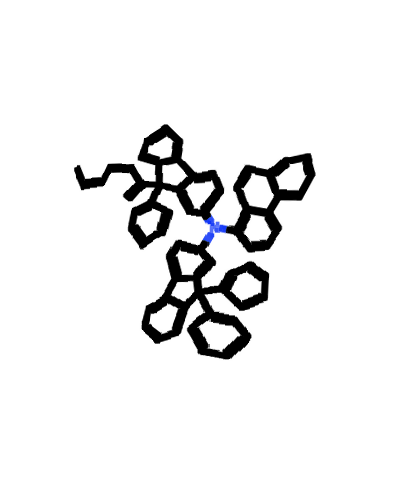 C=C(/C=C\C=C/C)C1(c2ccccc2)c2ccccc2-c2ccc(N(c3ccc4c(c3)C(c3ccccc3)(c3ccccc3)c3ccccc3-4)c3cccc4c3ccc3ccccc34)cc21